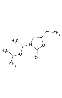 CCC1CN(C(C)OC(C)C)C(=O)O1